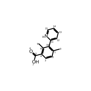 Cc1ccc(C(=O)O)c(C)c1-c1ccccn1